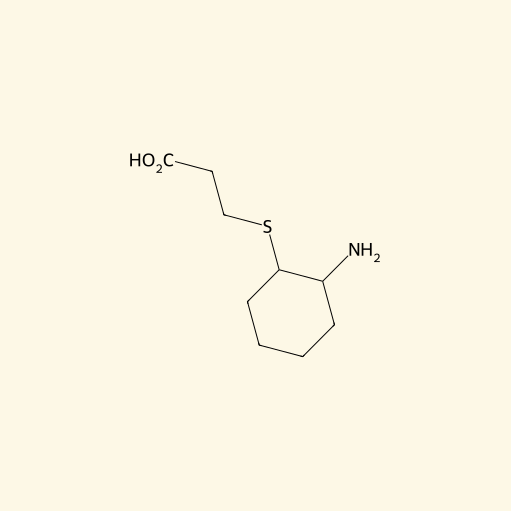 NC1CCCCC1SCCC(=O)O